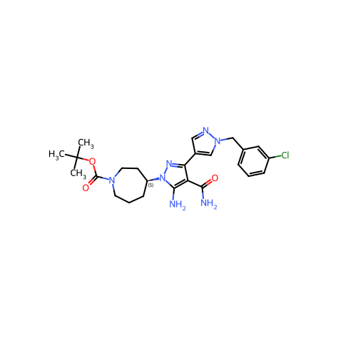 CC(C)(C)OC(=O)N1CCC[C@H](n2nc(-c3cnn(Cc4cccc(Cl)c4)c3)c(C(N)=O)c2N)CC1